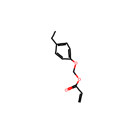 C=CC(=O)OCOc1ccc(CC)cc1